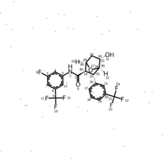 O=C(Nc1cc(F)cc(C(F)(F)F)c1)[C@@H]1[C@@H](c2cccc(C(F)(F)F)c2)[C@H]2O[C@@H]1C[C@@H]2O